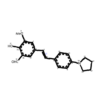 COc1cc(/C=C/c2ccc(N3CCCC3)cc2)cc(C=O)c1O